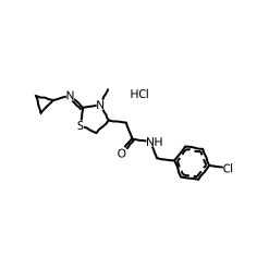 CN1C(=NC2CC2)SCC1CC(=O)NCc1ccc(Cl)cc1.Cl